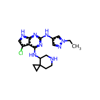 CCn1cc(Nc2nc(NC3CNCCC34CC4)c3c(Cl)c[nH]c3n2)cn1